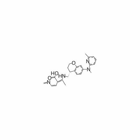 C=N/C=C\C(C(=O)O)=C(/C)NC[C@@H]1CCOc2cc(N(C)c3cccc(C)n3)ccc21